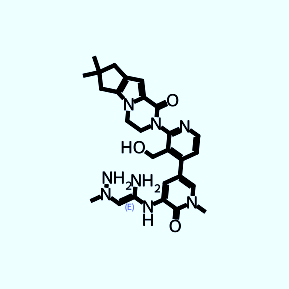 CN(N)/C=C(\N)Nc1cc(-c2ccnc(N3CCn4c(cc5c4CC(C)(C)C5)C3=O)c2CO)cn(C)c1=O